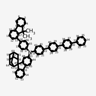 CC1(C)c2ccccc2-c2cccc(-c3ccc(N(c4ccc(-c5ccc(-c6ccc(-c7ccccc7)cc6)cc5)cc4)c4ccc5c(c4)C4(c6ccccc6-5)C5CC6CC(C5)CC4C6)cc3)c21